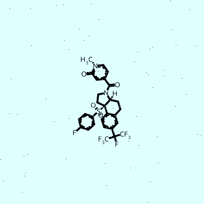 Cn1ccc(C(=O)N2CC[C@@]3(S(=O)(=O)c4ccc(F)cc4)c4ccc(C(F)(C(F)(F)F)C(F)(F)F)cc4CC[C@@H]23)cc1=O